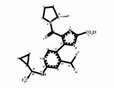 CCOC(=O)c1nc(C(=O)N2CCC[C@@H]2C)c(-c2cnc(N[C@H](C3CC3)C(F)(F)F)cc2C(F)F)s1